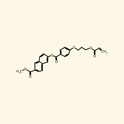 C=CC(=O)OCCCOc1ccc(C(=O)Oc2ccc3cc(C(=O)OC)ccc3c2)cc1